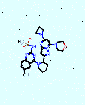 Cc1ccc2nc(NS(C)(=O)=O)nc(N3CCCCC3c3cc4nc(N5CCC5)cc(N5CCOCC5)n4n3)c2c1